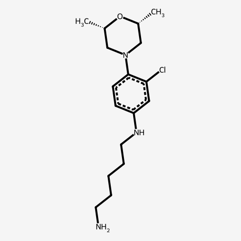 C[C@@H]1CN(c2ccc(NCCCCCN)cc2Cl)C[C@H](C)O1